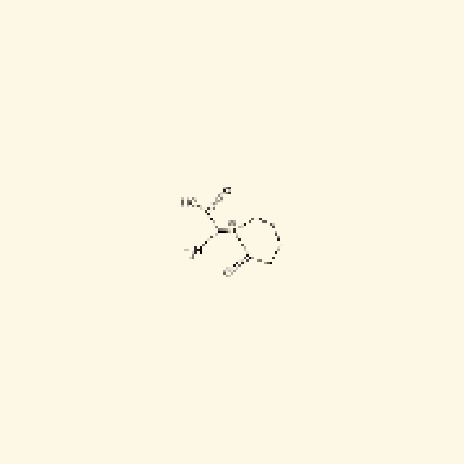 NC(C(=O)O)[C@H]1CCCCC1=O